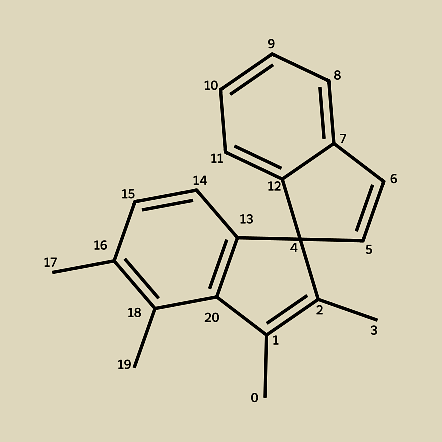 CC1=C(C)C2(C=Cc3ccccc32)c2ccc(C)c(C)c21